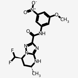 COc1cc(NC(=O)c2nc3n(n2)[C@H](C(F)F)C[C@@H](C)N3)cc([N+](=O)[O-])c1